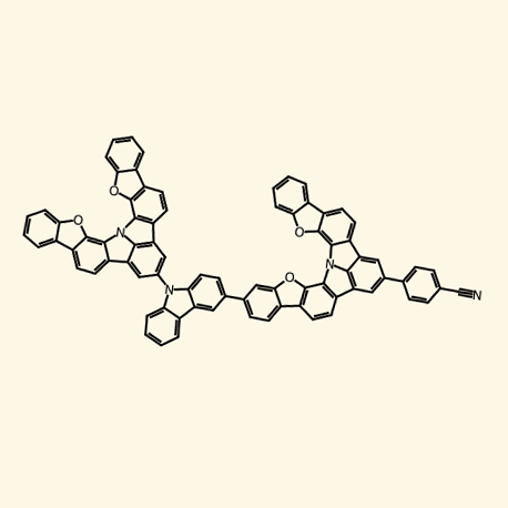 N#Cc1ccc(-c2cc3c4ccc5c6ccccc6oc5c4n4c3c(c2)c2ccc3c5ccc(-c6ccc7c(c6)c6ccccc6n7-c6cc7c8ccc9c%10ccccc%10oc9c8n8c7c(c6)c6ccc7c9ccccc9oc7c68)cc5oc3c24)cc1